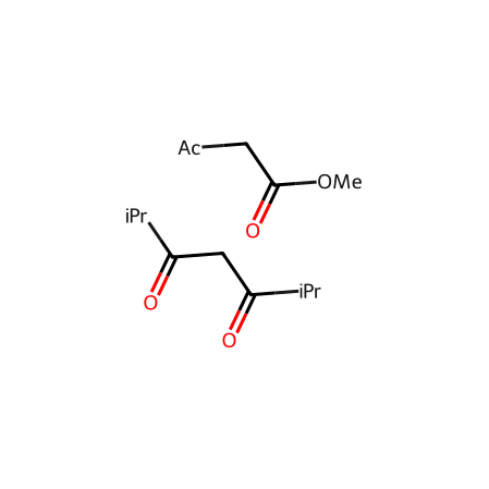 CC(C)C(=O)CC(=O)C(C)C.COC(=O)CC(C)=O